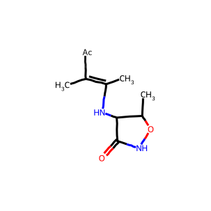 CC(=O)C(C)=C(C)NC1C(=O)NOC1C